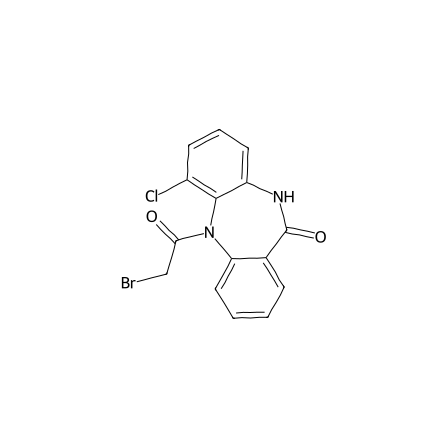 O=C1Nc2cccc(Cl)c2N(C(=O)CBr)c2ccccc21